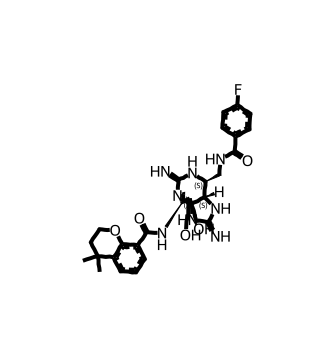 CC1(C)CCOc2c(C(=O)N[C@H]3CN4C(=N)N[C@@H](CNC(=O)c5ccc(F)cc5)[C@@H]5NC(=N)N[C@@]54C3(O)O)cccc21